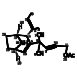 CC=C(C)[C@@H]1C(C(C#N)(C#N)C#CCOC(C)=O)=C[C@H]2CC[C@@H]1N2